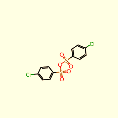 O=S(=O)(OS(=O)(=O)c1ccc(Cl)cc1)c1ccc(Cl)cc1